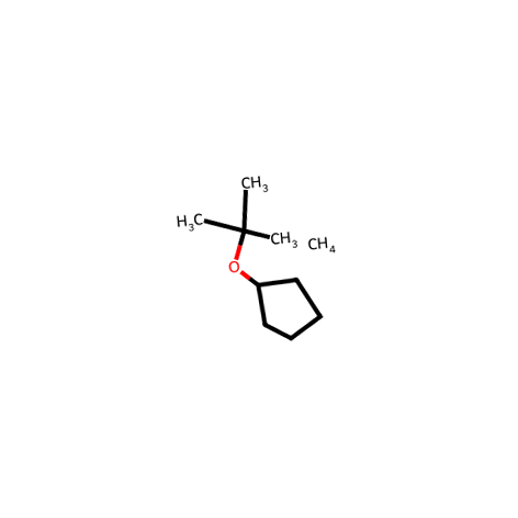 C.CC(C)(C)OC1CCCC1